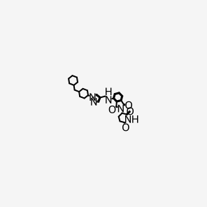 O=C1CCC(N2C(=O)c3cccc(NCc4cnn(C5CCC(CC6CCCCC6)CC5)c4)c3C2=O)C(=O)N1